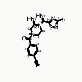 C#Cc1ccc(C(=O)N2CCN(C(=N)c3nc(C)ns3)C(=N)C2)cc1